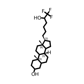 C[C@]12CCC(O)CC1CC[C@@H]1C2CC[C@@]2(C)C1CC[C@@H]2CCCCC(O)C(F)(F)F